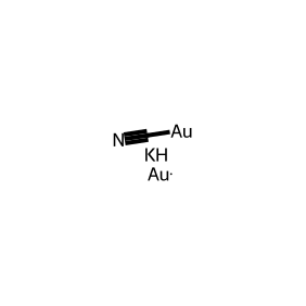 N#[C][Au].[Au].[KH]